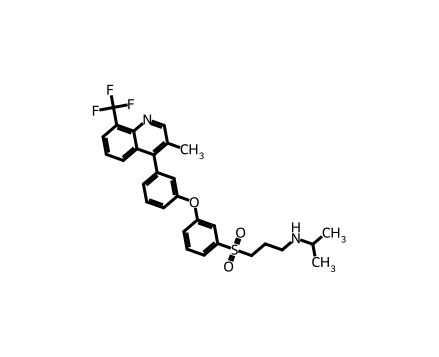 Cc1cnc2c(C(F)(F)F)cccc2c1-c1cccc(Oc2cccc(S(=O)(=O)CCCNC(C)C)c2)c1